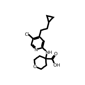 O=C(O)C1(Nc2cc(CCC3CC3)c(Cl)cn2)CCOCC1